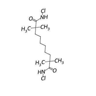 CC(C)(CCCCCCC(C)(C)C(=O)NCl)C(=O)NCl